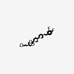 COCCC[C@H]1CO[C@H]([C@H]2CC[C@H]([C@H]3CC[C@H](CCc4ccc(F)c(F)c4)CC3)CC2)OC1